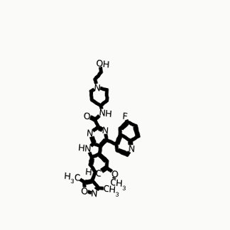 C=C(/C=c1\c(=C/Cc2c(C)noc2C)[nH]c2nc(C(=O)NC3CCN(CCO)CC3)nc(-c3ccnc4ccc(F)cc34)c12)OC